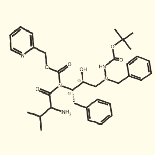 CC(C)C(N)C(=O)N(C(=O)OCc1ccccn1)[C@@H](Cc1ccccc1)[C@@H](O)CN(Cc1ccccc1)NC(=O)OC(C)(C)C